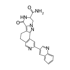 NC(=O)C1Cn2nc3c(c2C(=O)N1)CCc1cnc(-c2cnc4ccccc4c2)cc1-3